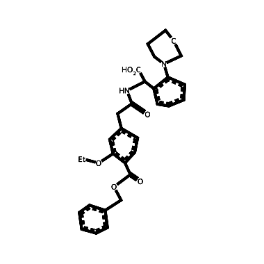 CCOc1cc(CC(=O)NC(C(=O)O)c2ccccc2N2CCCCC2)ccc1C(=O)OCc1ccccc1